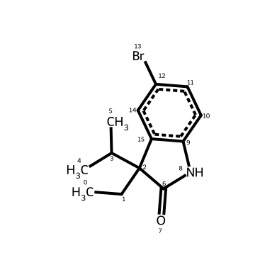 CCC1(C(C)C)C(=O)Nc2ccc(Br)cc21